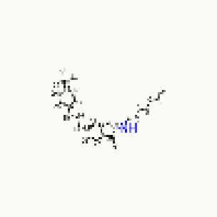 C=CCCCCCNC1Cc2cc(CCCc3ccc(C(C)(C)C)cc3)ccc2C1=C